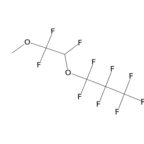 COC(F)(F)C(F)OC(F)(F)C(F)(F)C(F)(F)F